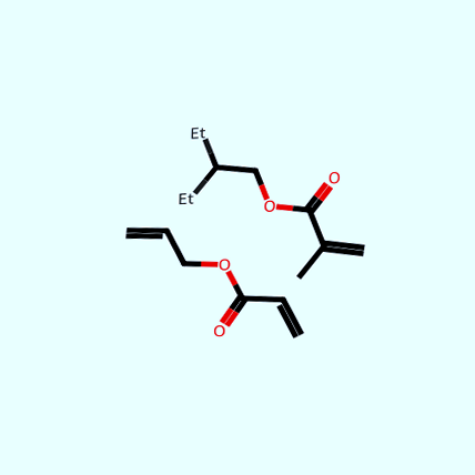 C=C(C)C(=O)OCC(CC)CC.C=CCOC(=O)C=C